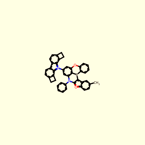 Cc1ccc2oc3c(c2c1)B1c2ccccc2Oc2cc(-n4c5c6c(ccc5c5ccc7c(c54)CC7)CC6)cc(c21)N3c1ccccc1